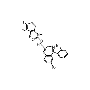 O=C(Nc1ccc(F)c(F)c1F)ONC1=Nc2ccc(Br)cc2C(c2ccccc2Br)=NC1